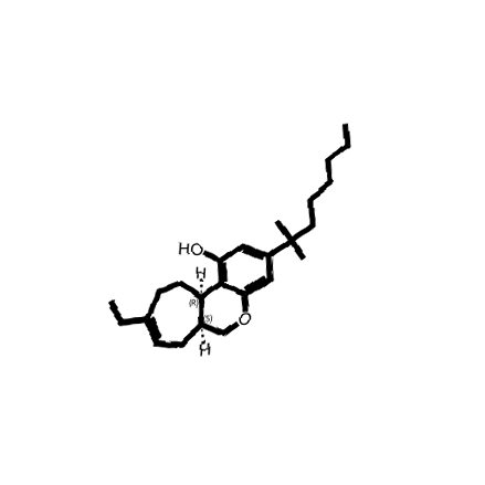 CCCCCCC(C)(C)c1cc(O)c2c(c1)OC[C@H]1CC=C(CC)CC[C@@H]21